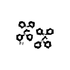 CC(CP(c1ccccc1)c1ccccc1)P(c1ccccc1)c1ccccc1.CC(CP(c1ccccc1)c1ccccc1)P(c1ccccc1)c1ccccc1.[Pd]